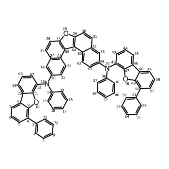 c1ccc(-c2cccc3c2oc2c(N(c4ccccc4)c4ccc5c(ccc6oc7ccc8cc(N(c9ccccc9)c9cccc%10c9oc9c(-c%11ccccc%11)cccc9%10)ccc8c7c65)c4)cccc23)cc1